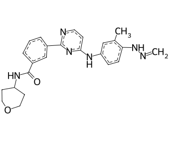 C=NNc1ccc(Nc2ccnc(-c3cccc(C(=O)NC4CCOCC4)c3)n2)cc1C